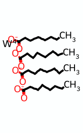 CCCCCCCC(=O)[O-].CCCCCCCC(=O)[O-].CCCCCCCC(=O)[O-].CCCCCCCC(=O)[O-].[W+4]